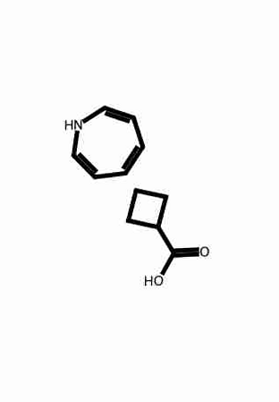 C1=CC=CNC=C1.O=C(O)C1CCC1